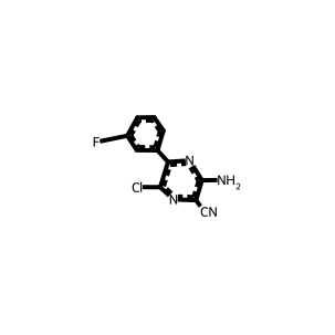 N#Cc1nc(Cl)c(-c2cccc(F)c2)nc1N